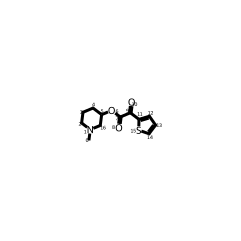 CN1CCCC(OC(=O)C(=O)c2cccs2)C1